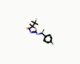 C[C@H](NC1=NC(=O)C(C)(C(C)(C)F)S1)c1ccc(F)cc1